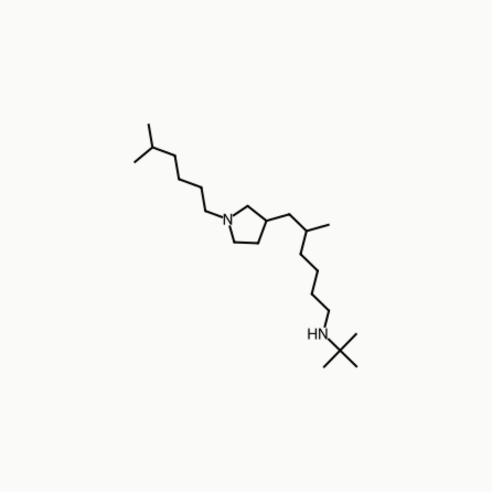 CC(C)CCCCN1CCC(CC(C)CCCCNC(C)(C)C)C1